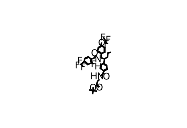 CCCC(c1ccc(C(=O)NCCC(=O)OC(C)(C)C)cc1)C(NC(=O)c1ccc(C(F)(F)F)cc1F)c1ccc(OC(F)(F)F)cc1